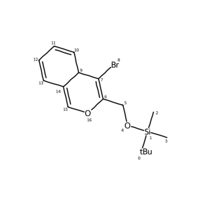 CC(C)(C)[Si](C)(C)OCC1=C(Br)C2C=CC=CC2=CO1